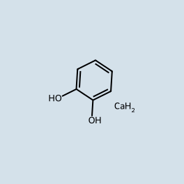 Oc1ccccc1O.[CaH2]